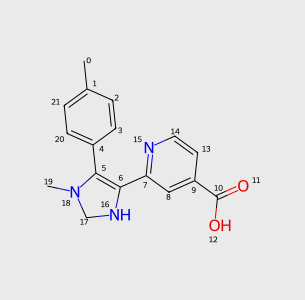 Cc1ccc(C2=C(c3cc(C(=O)O)ccn3)NCN2C)cc1